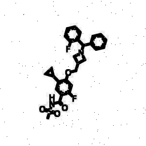 CS(=O)(=O)NC(=O)c1cc(C2CC2)c(OCC2CN(C(c3ccccc3)c3ccccc3F)C2)cc1F